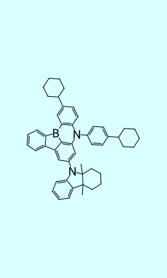 CC12CCCCC1(C)N(c1cc3c4c(c1)N(c1ccc(C5CCCCC5)cc1)c1ccc(C5CCCCC5)cc1B4c1ccccc1-3)c1ccccc12